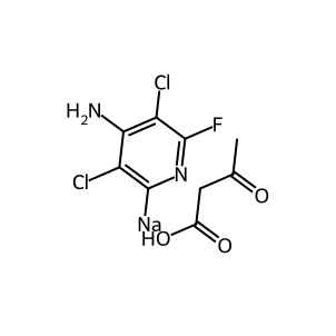 CC(=O)CC(=O)O.Nc1c(Cl)c(F)n[c]([Na])c1Cl